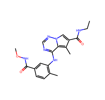 CCNC(=O)c1cn2ncnc(Nc3cc(C(=O)NOC)ccc3C)c2c1C